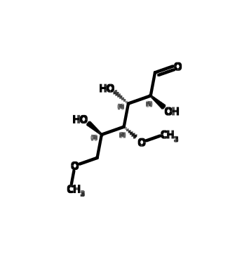 COC[C@@H](O)[C@@H](OC)[C@H](O)[C@H](O)C=O